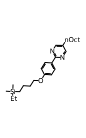 CCCCCCCCc1cnc(-c2ccc(OCCCC[Si](C)(C)CC)cc2)nc1